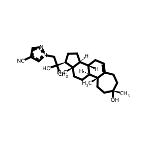 CC(O)(Cn1cc(C#N)cn1)[C@H]1CC[C@H]2[C@@H]3CC=C4CC[C@](C)(O)CC[C@]4(C)[C@H]3CC[C@]12C